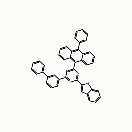 c1ccc(-c2cccc(-c3nc(-c4cc5ccccc5s4)nc(-c4c5ccccc5c(-c5ccccc5)c5ccccc45)n3)c2)cc1